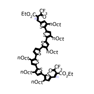 CCCCCCCCc1cc(/C=C(/C(=O)OCC)C(=O)C(F)(F)F)sc1-c1cc(CCCCCCCC)c(-c2cc(CCCCCCCC)c(-c3ccc(-c4sc(-c5sc(-c6sc(/C=C(/C(=O)OCC)C(=O)C(F)(F)F)cc6CCCCCCCC)cc5CCCCCCCC)cc4CCCCCCCC)s3)s2)s1